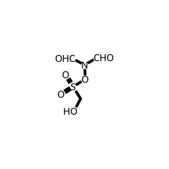 O=CN(C=O)OS(=O)(=O)CO